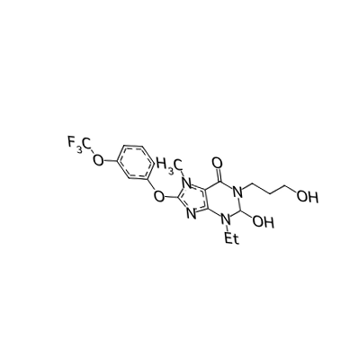 CCN1c2nc(Oc3cccc(OC(F)(F)F)c3)n(C)c2C(=O)N(CCCO)C1O